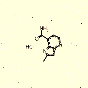 Cc1cn2nccc(C(N)=O)c2n1.Cl